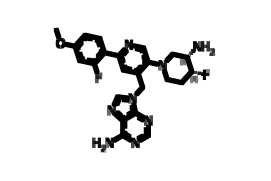 COc1ccc(-c2cc(Cn3cnc4c(N)ncnc43)c(N3CC[C@@H](F)[C@@H](N)C3)cn2)c(F)c1